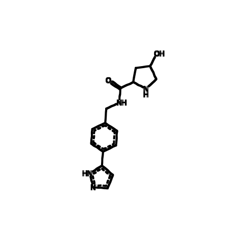 O=C(NCc1ccc(-c2ccn[nH]2)cc1)C1CC(O)CN1